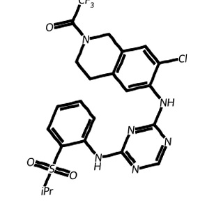 CC(C)S(=O)(=O)c1ccccc1Nc1ncnc(Nc2cc3c(cc2Cl)CN(C(=O)C(F)(F)F)CC3)n1